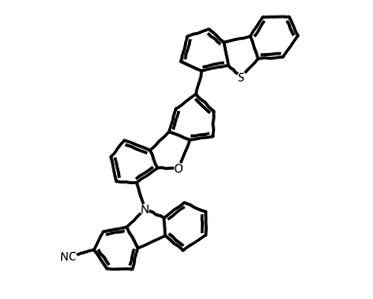 N#Cc1ccc2c3ccccc3n(-c3cccc4c3oc3ccc(-c5cccc6c5sc5ccccc56)cc34)c2c1